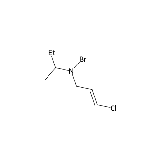 CCC(C)N(Br)CC=CCl